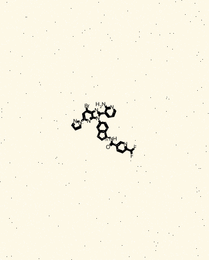 Nc1ncccc1-c1nc2c(Br)cc(-n3cccn3)nc2n1-c1ccc2c(c1)CC[C@@H]2NC(=O)c1ccc(C(F)F)nc1